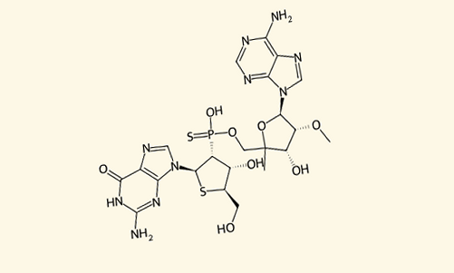 CO[C@H]1[C@H](n2cnc3c(N)ncnc32)OC(C)(COP(O)(=S)[C@@H]2[C@H](O)[C@@H](CO)S[C@H]2n2cnc3c(=O)[nH]c(N)nc32)[C@H]1O